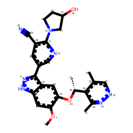 COc1cc2[nH]nc(-c3cnc(N4CCC(O)C4)c(C#N)c3)c2cc1O[C@H](C)c1c(C)cnnc1C